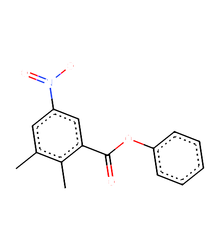 Cc1cc([N+](=O)[O-])cc(C(=O)Oc2ccccc2)c1C